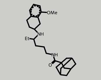 CCC(CCCNC(=O)C12CC3CC(CC(C3)C1)C2)NC1CCc2cccc(OC)c2C1